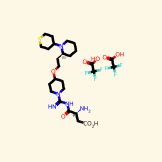 N=C(NC(=O)[C@H](N)CC(=O)O)N1CCC(OCC[C@@H]2CCCCN2C2CCSCC2)CC1.O=C(O)C(F)(F)F.O=C(O)C(F)(F)F